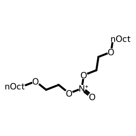 CCCCCCCCOCCO[N+](=O)OCCOCCCCCCCC